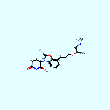 CC(C)(C)C(CNC(=O)O)OCCCc1cccc2c1oc(=O)n2C1CCC(=O)NC1=O